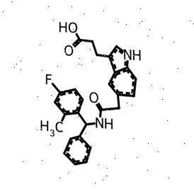 Cc1cc(F)ccc1C(NC(=O)Cc1ccc2[nH]cc(CCC(=O)O)c2c1)c1ccccc1